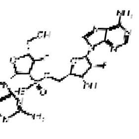 Nc1nc2c(ncn2[C@@H]2O[C@H](CO)[C@@H](F)[C@H]2P(=O)(S)OC[C@H]2O[C@@H](n3cnc4c(N)ncnc43)[C@@H](F)[C@@H]2O)c(=O)[nH]1